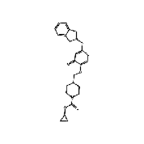 O=C(OC1CC1)N1CCC(COc2coc(CN3Cc4ccccc4C3)cc2=O)CC1